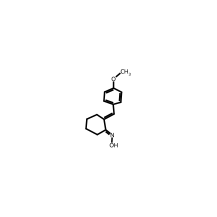 COc1ccc(C=C2CCCCC2=NO)cc1